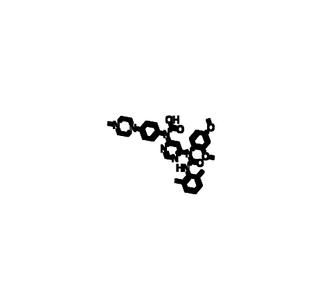 COc1ccc(N(C(=O)Nc2c(C)cccc2C)c2cc(N(C(=O)O)c3ccc(N4CCN(C)CC4)cc3)ncn2)c(OC)c1